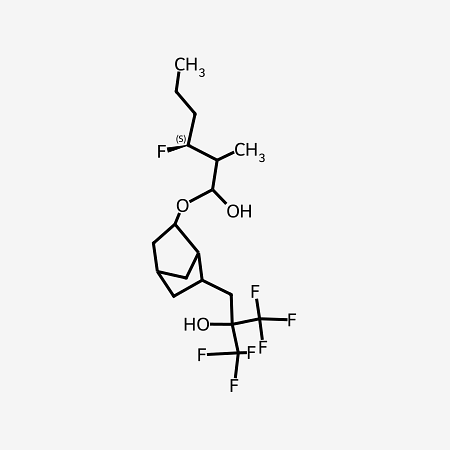 CCC[C@H](F)C(C)C(O)OC1CC2CC(CC(O)(C(F)(F)F)C(F)(F)F)C1C2